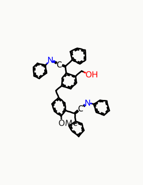 COc1ccc(Cc2ccc(CO)c(C(=C=Nc3ccccc3)c3ccccc3)c2)cc1C(=C=Nc1ccccc1)c1ccccc1